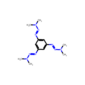 CN(C)N=Nc1cc(N=NN(C)C)cc(N=NN(C)C)c1